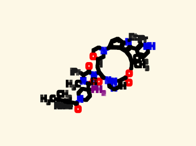 CCn1c(C2=C(C(C)C)NCC=C2)c2c3cc(ccc31)N1CCO[C@@H](CC(NC(=O)C(C(C)C)N(C)C(=O)C3(P)CCN(C(=O)C#CC(C)(C)NC)CC3)C(=O)N3CCC[C@H](N3)C(=O)OCC(C)(C)C2)C1